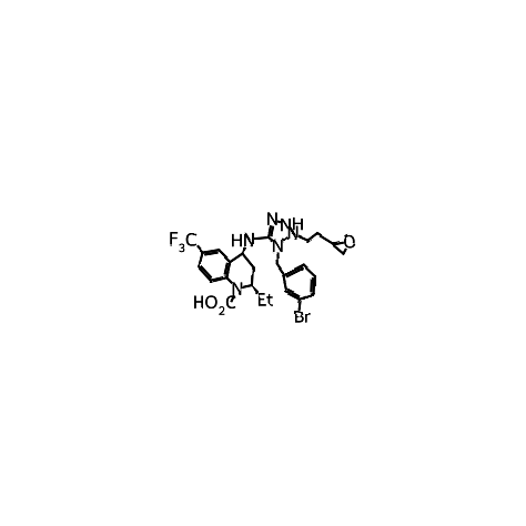 CC[C@@H]1C[C@H](NC2=NNN(CCC3CO3)N2Cc2cccc(Br)c2)c2cc(C(F)(F)F)ccc2N1C(=O)O